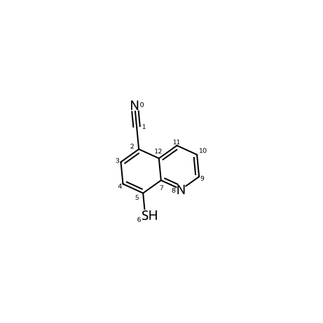 N#Cc1ccc(S)c2ncccc12